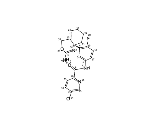 NC1=N[C@@]2(c3cc(NC(=O)c4ccc(Cl)cn4)ccc3F)CCCC=C2CO1